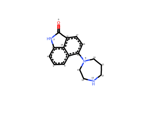 O=C1Nc2cccc3c(N4CCCNCC4)ccc1c23